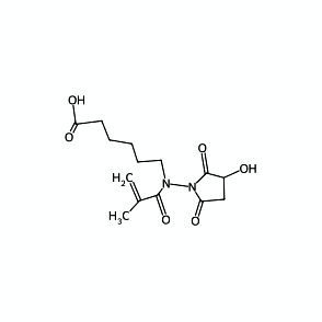 C=C(C)C(=O)N(CCCCCC(=O)O)N1C(=O)CC(O)C1=O